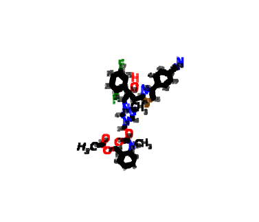 CC(=O)OCc1ccccc1N(C)C(=O)OC[n+]1cnn(C[C@](O)(c2cc(F)ccc2F)[C@@H](C)c2nc(-c3ccc(C#N)cc3)cs2)c1